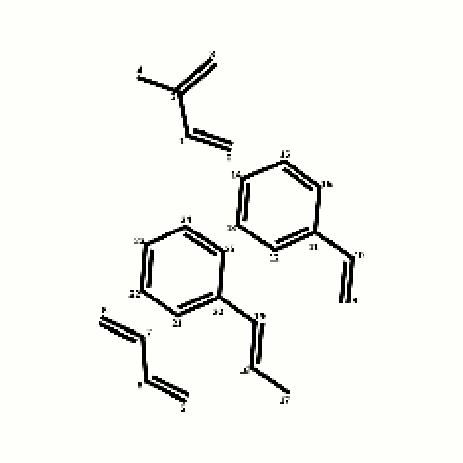 C=CC(=C)C.C=CC=C.C=Cc1ccccc1.CC=Cc1ccccc1